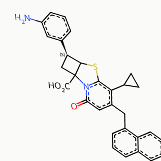 Nc1cccc([C@@H]2CC3(C(=O)O)C2Sc2c(C4CC4)c(Cc4cccc5ccccc45)cc(=O)n23)c1